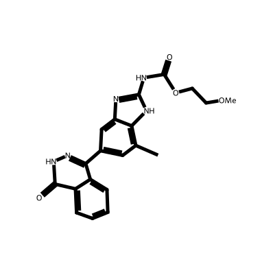 COCCOC(=O)Nc1nc2cc(-c3n[nH]c(=O)c4ccccc34)cc(C)c2[nH]1